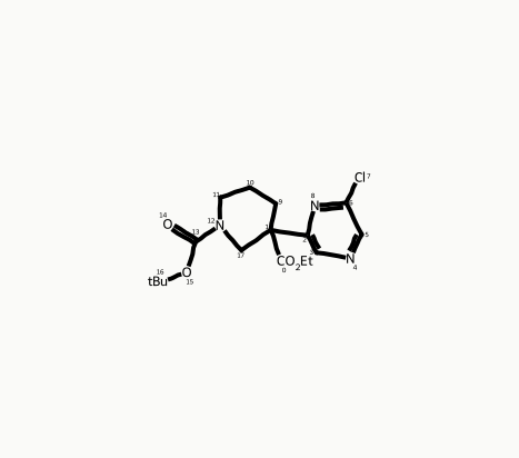 CCOC(=O)C1(c2cncc(Cl)n2)CCCN(C(=O)OC(C)(C)C)C1